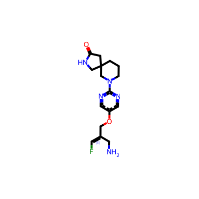 NC/C(=C\F)COc1cnc(N2CCCC3(CNC(=O)C3)C2)nc1